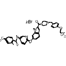 Br.Cc1cc(C(F)(F)F)ccc1C(=O)N(C)c1ccc(Oc2ccc3cc(C(=O)N4CCN(Cc5ccc(OCC(F)(F)F)cc5)CC4)n(C)c3c2)nc1